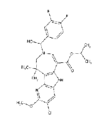 COc1nc2c3c([nH]c2cc1Cl)C(C(=O)OC(C)C)=CN(C(O)c1ccc(F)c(F)c1)CC3(C)C